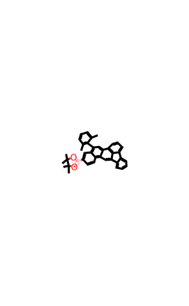 Cc1cccc(C)c1-c1cc2c3cccc4c3c(cc2c2ccc(B3OC(C)(C)C(C)(C)O3)cc12)-c1ccccc1-4